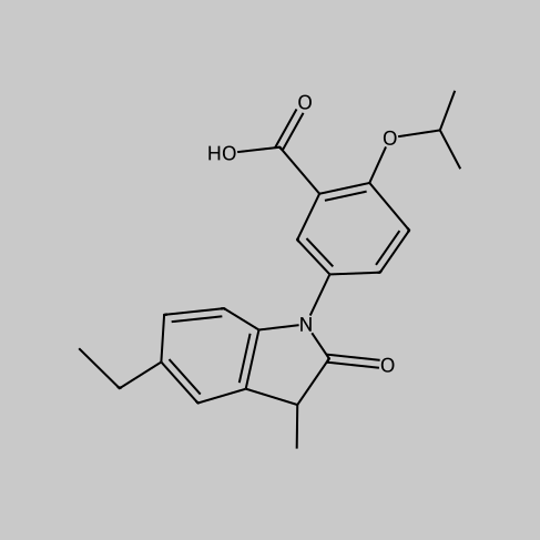 CCc1ccc2c(c1)C(C)C(=O)N2c1ccc(OC(C)C)c(C(=O)O)c1